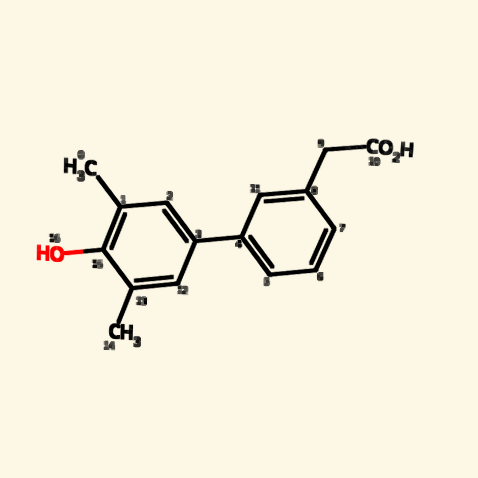 Cc1cc(-c2cccc(CC(=O)O)c2)cc(C)c1O